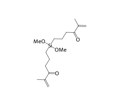 C=C(C)C(=O)CCC[Si](CCCC(=O)C(=C)C)(OC)OC